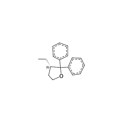 CC[C@H]1CCOC1(c1ccccc1)c1ccccc1